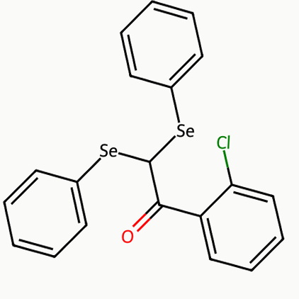 O=C(c1ccccc1Cl)C([Se]c1ccccc1)[Se]c1ccccc1